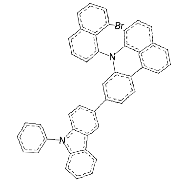 Brc1cccc2cccc(N3c4cc(-c5ccc6c(c5)c5ccccc5n6-c5ccccc5)ccc4-c4cccc5cccc3c45)c12